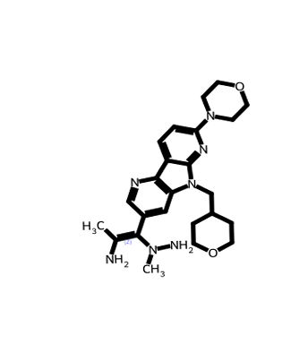 C/C(N)=C(\c1cnc2c3ccc(N4CCOCC4)nc3n(CC3CCOCC3)c2c1)N(C)N